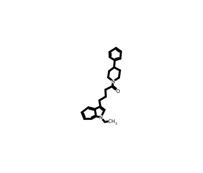 CCn1cc(CCCC(=O)N2CCC(c3ccccc3)CC2)c2ccccc21